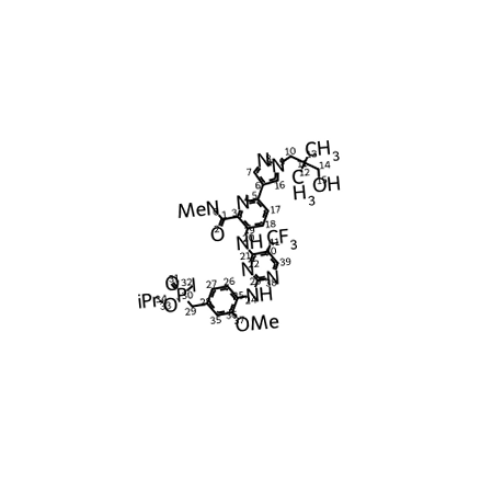 CNC(=O)c1nc(-c2cnn(CC(C)(C)CO)c2)ccc1Nc1nc(Nc2ccc(CP(=O)(I)OC(C)C)cc2OC)ncc1C(F)(F)F